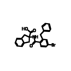 O=C(NC1(C(=O)O)Cc2ccccc2C1)c1ccc(Br)cc1Cc1ccccc1